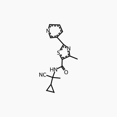 Cc1nc(-c2cccnc2)sc1C(=O)NC(C)(C#N)C1CC1